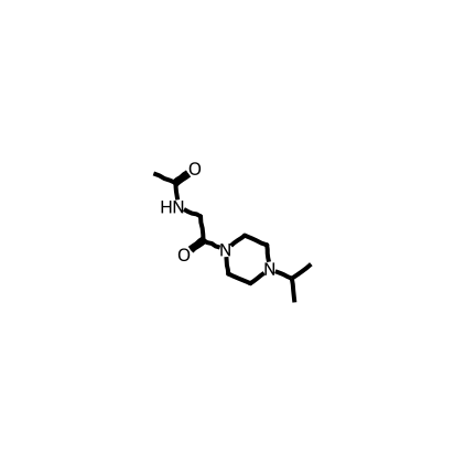 CC(=O)NCC(=O)N1CCN(C(C)C)CC1